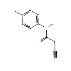 N#CCC(=O)N(P)c1ccc(Br)cc1